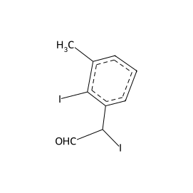 Cc1cccc(C(I)C=O)c1I